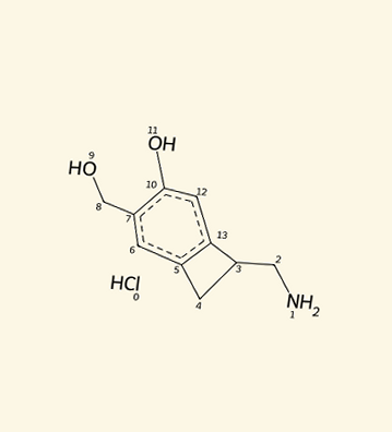 Cl.NCC1Cc2cc(CO)c(O)cc21